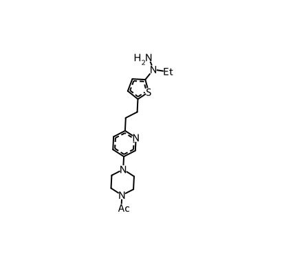 CCN(N)c1ccc(CCc2ccc(N3CCN(C(C)=O)CC3)cn2)s1